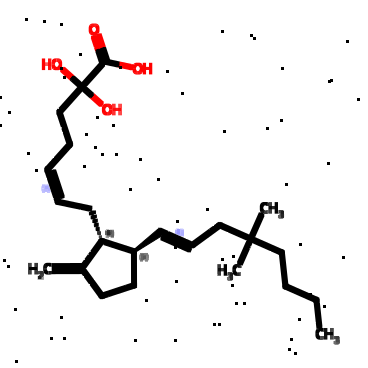 C=C1CC[C@H](/C=C/CC(C)(C)CCCC)[C@H]1C/C=C\CCC(O)(O)C(=O)O